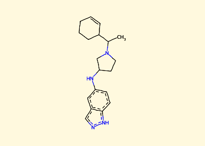 CC(C1C=CCCC1)N1CCC(Nc2ccc3[nH]ncc3c2)C1